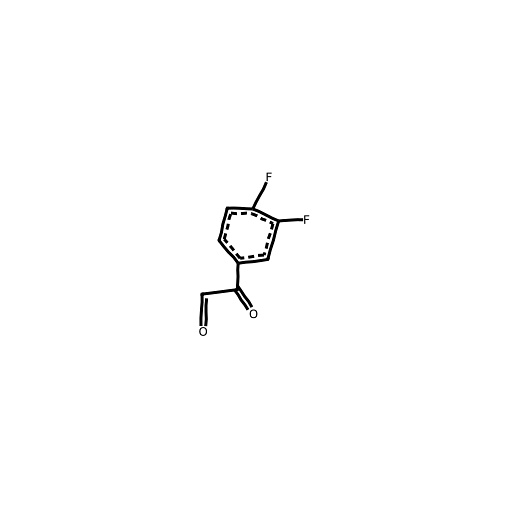 O=CC(=O)c1ccc(F)c(F)c1